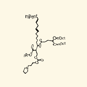 CCCCCC=CCC=CCCCCCC(OC(=O)CCC(OCCCCCCCC)OCCCCCCCC)C(COC(=O)OCCCN1CCCC1)C(=O)OCCC